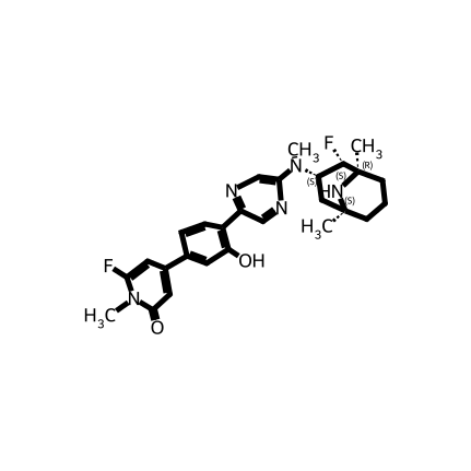 CN(c1cnc(-c2ccc(-c3cc(F)n(C)c(=O)c3)cc2O)cn1)[C@H]1C[C@]2(C)CCC[C@@](C)(N2)[C@H]1F